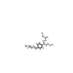 CCCCC(CCC(C)CC)c1ccc(OCCN)cc1